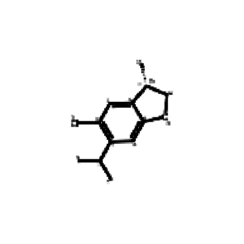 CC(C)c1cc2c(cc1Cl)[C@H](C)CO2